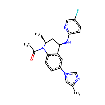 CC(=O)N1c2ccc(-n3cnc(C)c3)cc2[C@H](Nc2ccc(F)cn2)C[C@@H]1C